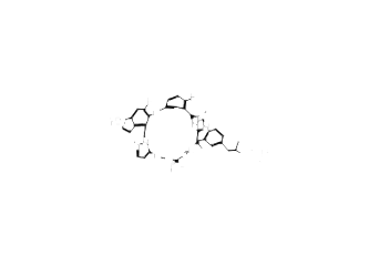 CC(Cc1cccc(C2(C)CCC(F)(F)COc3ccnn3Cc3c(c(F)cc4[nH]ccc34)Oc3ccc(F)c(c3)-c3nc2nn3C)c1)C(=O)O